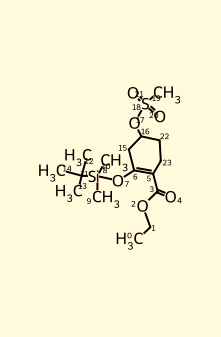 CCOC(=O)C1=C(O[Si](C)(C)C(C)(C)C)CC(OS(C)(=O)=O)CC1